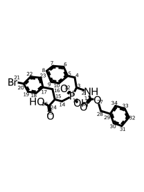 O=C(NC(Cc1ccccc1)P(=O)(O)CC(Cc1ccc(Br)cc1)C(=O)O)OCc1ccccc1